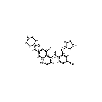 Cc1cc(N=S2(=O)CCOCC2)cc2ncnc(Nc3ccc(F)cc3O[C@H]3CCOC3)c12